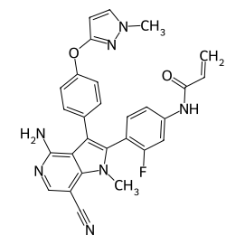 C=CC(=O)Nc1ccc(-c2c(-c3ccc(Oc4ccn(C)n4)cc3)c3c(N)ncc(C#N)c3n2C)c(F)c1